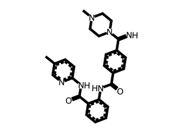 Cc1ccc(NC(=O)c2ccccc2NC(=O)c2ccc(C(=N)N3CCN(C)CC3)cc2)nc1